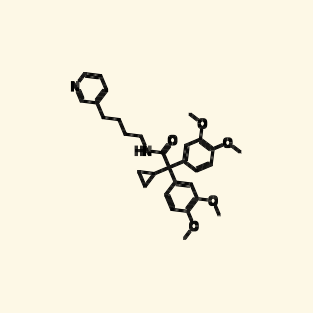 COc1ccc(C(C(=O)NCCCCc2cccnc2)(c2ccc(OC)c(OC)c2)C2CC2)cc1OC